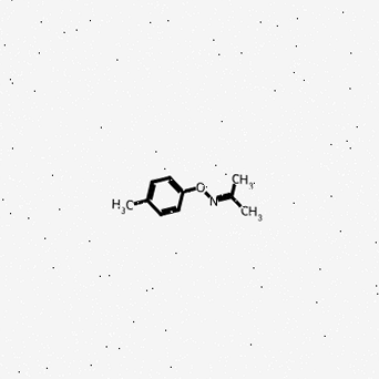 CC(C)=NOc1ccc(C)cc1